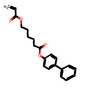 C=CC(=O)OCCCCCC(=O)Oc1ccc(-c2ccccc2)cc1